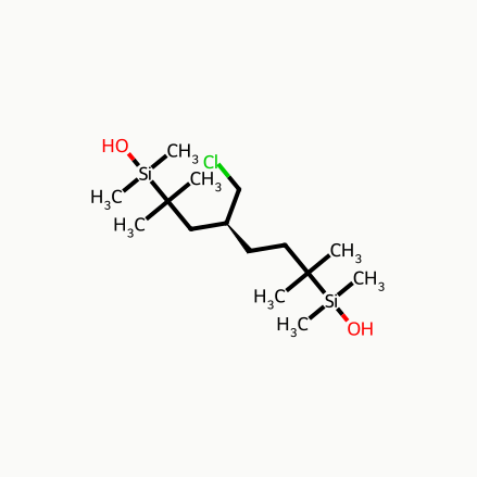 CC(C)(CC[C@H](CCl)CC(C)(C)[Si](C)(C)O)[Si](C)(C)O